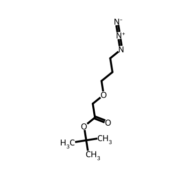 CC(C)(C)OC(=O)COCCCN=[N+]=[N-]